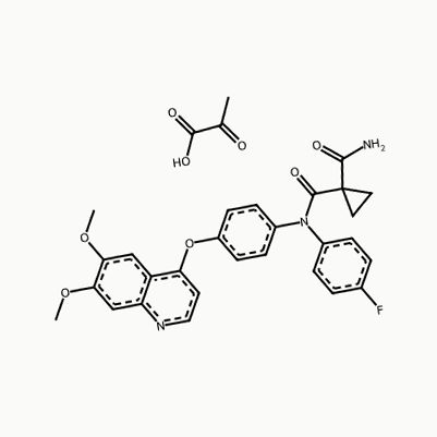 CC(=O)C(=O)O.COc1cc2nccc(Oc3ccc(N(C(=O)C4(C(N)=O)CC4)c4ccc(F)cc4)cc3)c2cc1OC